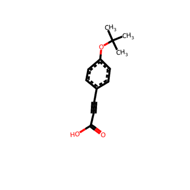 CC(C)(C)Oc1ccc(C#CC(=O)O)cc1